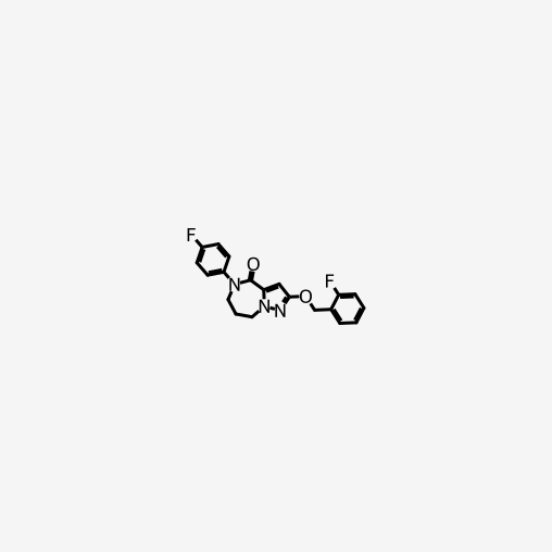 O=C1c2cc(OCc3ccccc3F)nn2CCCN1c1ccc(F)cc1